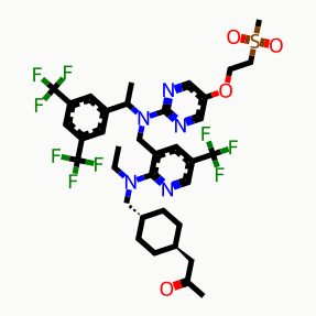 CCN(C[C@H]1CC[C@H](CC(C)=O)CC1)c1ncc(C(F)(F)F)cc1CN(c1ncc(OCCS(C)(=O)=O)cn1)C(C)c1cc(C(F)(F)F)cc(C(F)(F)F)c1